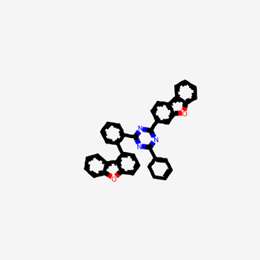 C1=CCCC(c2nc(-c3ccc4c(c3)oc3ccccc34)nc(-c3ccccc3-c3cccc4oc5ccccc5c34)n2)=C1